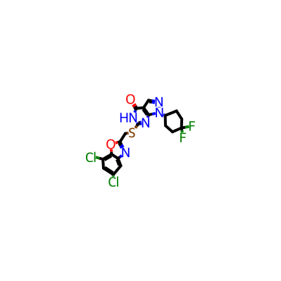 O=c1[nH]c(SCc2nc3cc(Cl)cc(Cl)c3o2)nc2c1cnn2C1CCC(F)(F)CC1